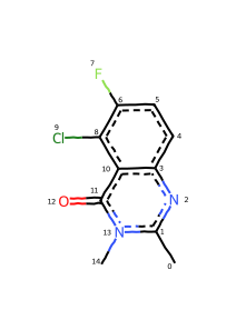 Cc1nc2ccc(F)c(Cl)c2c(=O)n1C